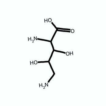 NCC(O)C(O)C(N)C(=O)O